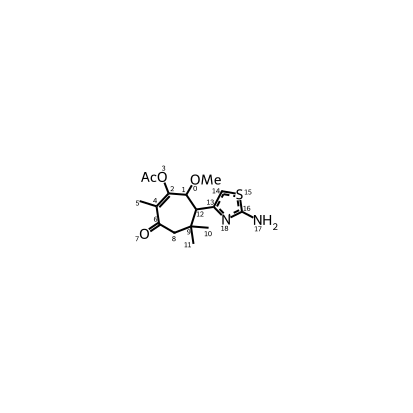 COC1C(OC(C)=O)=C(C)C(=O)CC(C)(C)C1c1csc(N)n1